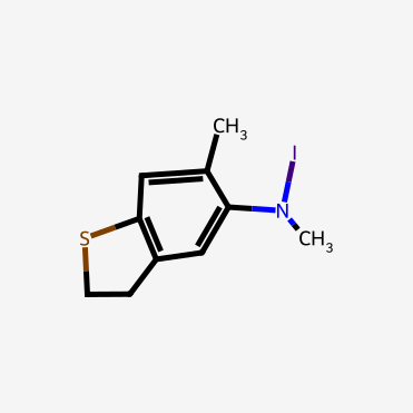 Cc1cc2c(cc1N(C)I)CCS2